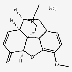 COC1=C2O[C@H]3C(=O)C=C[C@H]4[C@H]5CC(C=C1)C2[C@@]34CCN5C.Cl